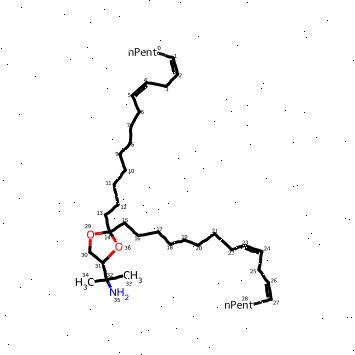 CCCCC/C=C\C/C=C\CCCCCCCCC1(CCCCCCCC/C=C\C/C=C\CCCCC)OCC(C(C)(C)N)O1